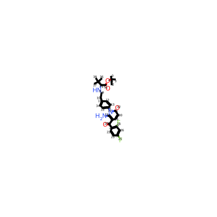 CC(C)(C)OC(=O)[C@@H](NCCc1ccc(-n2c(N)c(C(=O)c3ccc(F)cc3F)ccc2=O)cc1)C(C)(C)C